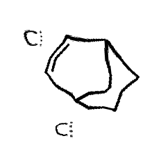 C1=CC2CCC1C2.[C].[C]